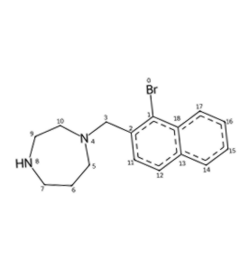 Brc1c(CN2CCCNCC2)ccc2ccccc12